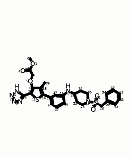 COC(=O)COc1c(-c2nnn[nH]2)sc(-c2cccc(NC3CCN(S(=O)(=O)Cc4ccccc4)CC3)c2)c1C